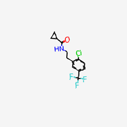 O=C(NCCc1cc(C(F)(F)F)ccc1Cl)C1CC1